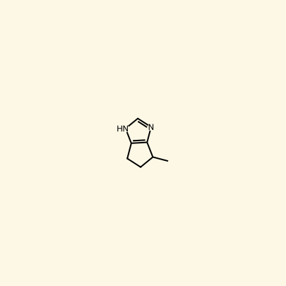 CC1CCc2[nH]cnc21